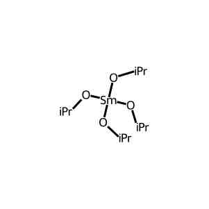 CC(C)[O][Sm]([O]C(C)C)([O]C(C)C)[O]C(C)C